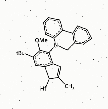 COc1c(C(C)(C)C)cc2c(c1N1Cc3ccccc3-c3ccccc31)C=C(C)[CH]2[Hf]